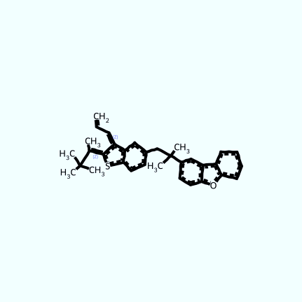 C=C/C=c1\c(=C(/C)C(C)(C)C)sc2ccc(CC(C)(C)c3ccc4oc5ccccc5c4c3)cc12